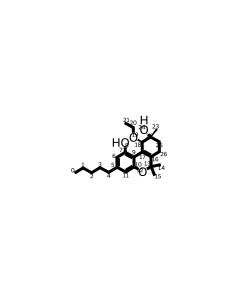 CCCCCc1cc(O)c2c(c1)OC(C)(C)C1=C2[C@@H](OCC)[C@](C)(O)CC1